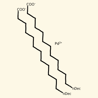 CCCCCCCCCCCCCCCCCCCCCC(=O)[O-].CCCCCCCCCCCCCCCCCCCCCC(=O)[O-].[Pd+2]